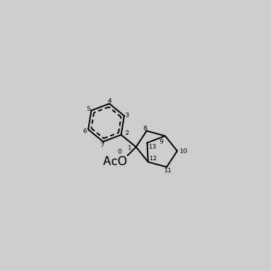 CC(=O)OC1(c2ccccc2)CC2CCC1C2